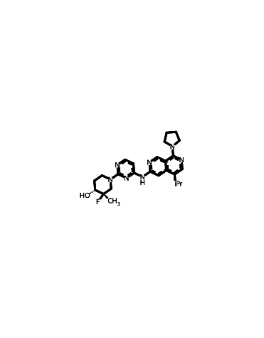 CC(C)c1cnc(N2CCCC2)c2cnc(Nc3ccnc(N4CC[C@@H](O)[C@@](C)(F)C4)n3)cc12